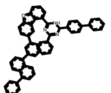 c1ccc(C2=NC(c3ccc(-c4ccccc4)cc3)NC(c3cccc4oc5ccc(-c6cccc(-c7cccc8c(-c9ccccc9)cccc78)c6)cc5c34)=N2)cc1